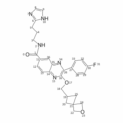 O=C(NCCCc1ncc[nH]1)c1ccc2nc(OCC3CC4(COC4)C3)c(-c3ccc(F)cc3)nc2c1